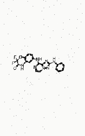 O=C1Nc2cc(Nc3nccn4nc(Nc5ccccc5)nc34)ccc2OC1(F)F